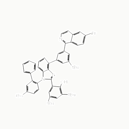 CC(C)c1ccc2c(-c3cc(-c4cccc5c4nc(-c4cc(C(C)(C)C)cc(C(C)(C)C)c4O)n5-c4ccc(C(C)(C)C)cc4-c4ccccc4)cc(C(C)(C)C)c3)nccc2c1